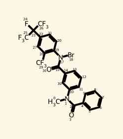 CN(C(=O)c1ccccc1)c1cccc(C(=O)N(Br)c2ccc(C(F)(C(F)(F)F)C(F)(F)F)cc2C(F)(F)F)c1